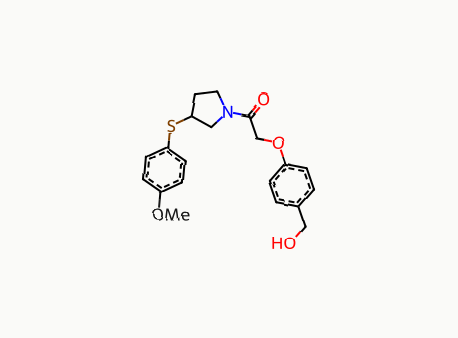 COc1ccc(SC2CCN(C(=O)COc3ccc(CO)cc3)C2)cc1